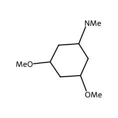 CNC1CC(OC)CC(OC)C1